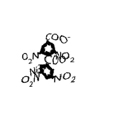 O=C([O-])c1cc([N+](=O)[O-])cc([N+](=O)[O-])c1.O=C([O-])c1cc([N+](=O)[O-])cc([N+](=O)[O-])c1.[Ni+2]